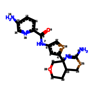 NC1=NC2(c3cc(NC(=O)c4ccc(N)cn4)cs3)COCCC2CS1